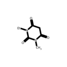 CCN1C(=O)CC(=O)N(C)C1=O